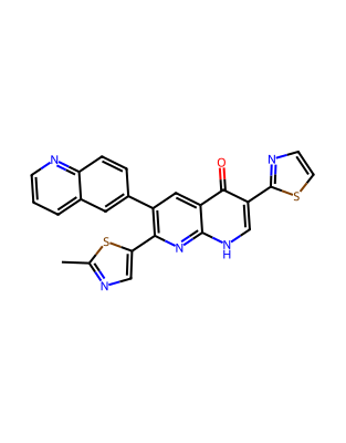 Cc1ncc(-c2nc3[nH]cc(-c4nccs4)c(=O)c3cc2-c2ccc3ncccc3c2)s1